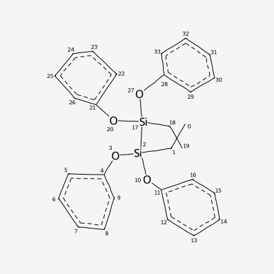 CC[Si](Oc1ccccc1)(Oc1ccccc1)[Si](CC)(Oc1ccccc1)Oc1ccccc1